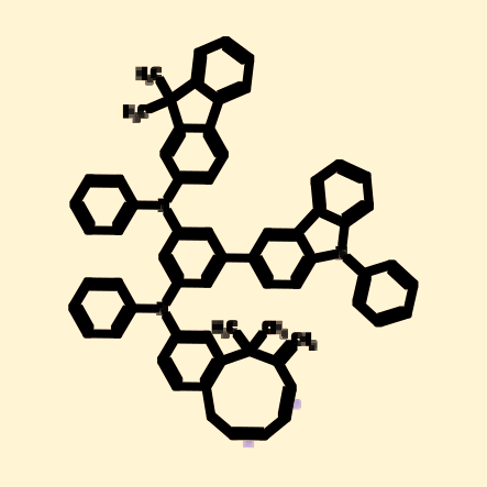 C=C1/C=C\C=C/Cc2ccc(N(c3ccccc3)c3cc(-c4ccc5c(c4)c4ccccc4n5-c4ccccc4)cc(N(c4ccccc4)c4ccc5c(c4)C(C)(C)c4ccccc4-5)c3)cc2C1(C)C